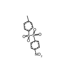 Cc1ccc(S(=O)(=O)S(=O)(=O)c2ccc([N+](=O)[O-])cc2)cc1